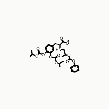 COC(=O)[C@H](Cc1ccc(OC(=O)OC(C)C)c(OC(=O)OC(C)C)c1)NCC(C)OC(=O)Oc1ccccc1